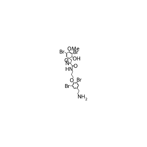 COC1=C(Br)[C@@H](O)[C@]2(C=C1Br)CC(C(=O)NCCCOc1c(Br)cc(CCN)cc1Br)=NO2